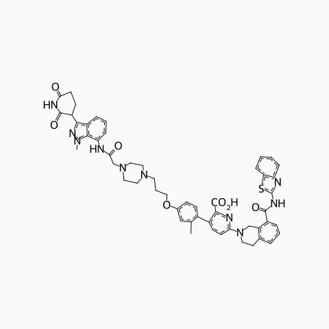 Cc1cc(OCCCN2CCN(CC(=O)Nc3cccc4c(C5CCC(=O)NC5=O)nn(C)c34)CC2)ccc1-c1ccc(N2CCc3cccc(C(=O)Nc4nc5ccccc5s4)c3C2)nc1C(=O)O